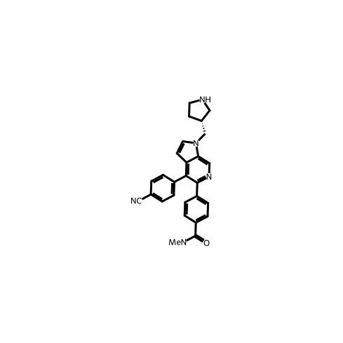 CNC(=O)c1ccc(-c2ncc3c(ccn3C[C@@H]3CCNC3)c2-c2ccc(C#N)cc2)cc1